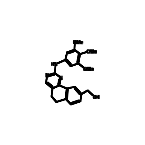 COc1cc(Nc2ncc3c(n2)-c2cc(CO)ccc2CC3)cc(OC)c1OC